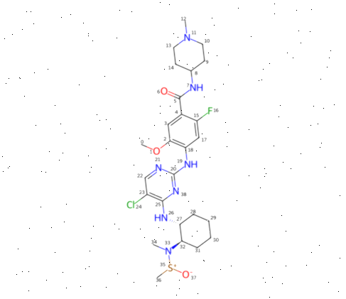 COc1cc(C(=O)NC2CCN(C)CC2)c(F)cc1Nc1ncc(Cl)c(N[C@@H]2CCCC[C@H]2N(C)[S+](C)[O-])n1